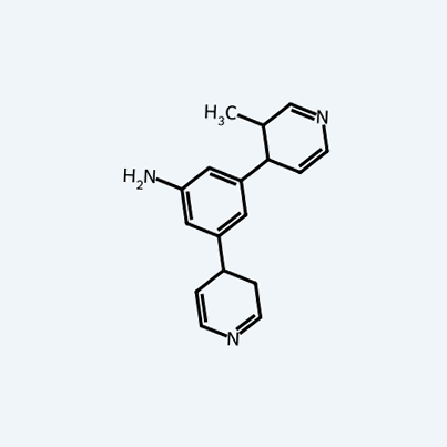 CC1C=NC=CC1c1cc(N)cc(C2C=CN=CC2)c1